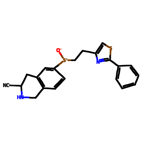 N#CC1Cc2cc([S+]([O-])CCc3csc(-c4ccccc4)n3)ccc2CN1